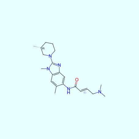 Cc1cc2c(cc1NC(=O)/C=C/CN(C)C)nc(N1CCC[C@@H](C)C1)n2C